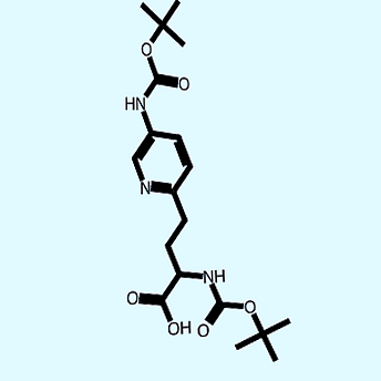 CC(C)(C)OC(=O)Nc1ccc(CCC(NC(=O)OC(C)(C)C)C(=O)O)nc1